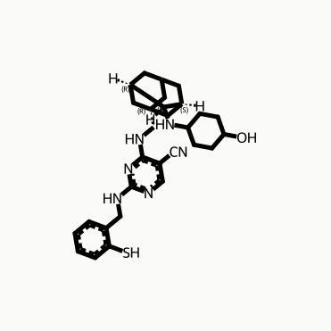 N#Cc1cnc(NCc2ccccc2S)nc1NC[C@@]12CC3C[C@H](C1)[C@@H](NC1CCC(O)CC1)[C@@H](C3)C2